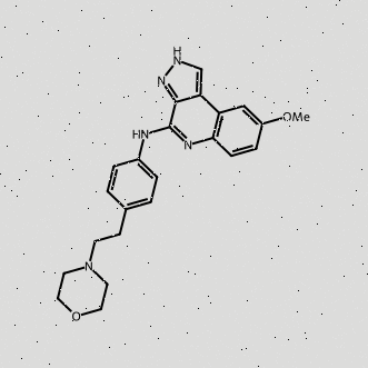 COc1ccc2nc(Nc3ccc(CCN4CCOCC4)cc3)c3n[nH]cc3c2c1